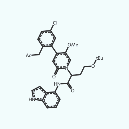 COc1cn(C(CCOC(C)(C)C)C(=O)Nc2cccc3[nH]ccc23)c(=O)cc1-c1cc(Cl)ccc1CC(C)=O